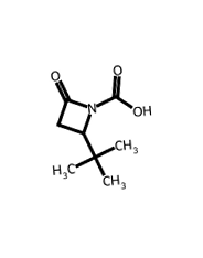 CC(C)(C)C1CC(=O)N1C(=O)O